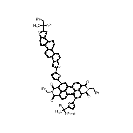 CCCCCC(C)(CC)c1ccc(-c2cc3c4c(ccc5c6cc(-c7ccc(-c8cc9c(ccc%10c9ccc9c%11ccc%12sc(C(C)(CCC)CC(C)C)cc%12c%11ccc%109)s8)s7)c7c8c(ccc(c2c45)c86)C(=O)N(CC(C)C)C7=O)C(=O)N(CC(C)C)C3=O)s1